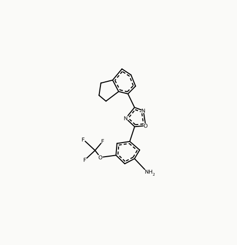 Nc1cc(OC(F)(F)F)cc(-c2nc(-c3cccc4c3CCC4)no2)c1